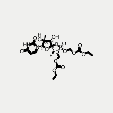 CCOC(=O)OCOP(=O)(OCOC(=O)OCC)O[C@@]1(CF)O[C@@H](n2ccc(=O)[nH]c2=O)[C@](C)(O)[C@@H]1O